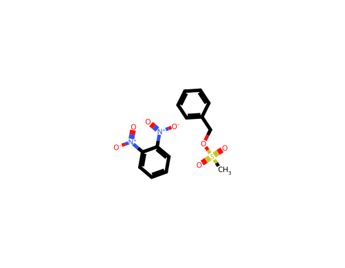 CS(=O)(=O)OCc1ccccc1.O=[N+]([O-])c1ccccc1[N+](=O)[O-]